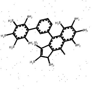 BC1=C(B)C(B)c2c1c(-c1cccc(-c3c(B)c(B)c(B)c(B)c3B)c1)c1c(B)c(B)c(B)c(B)c1c2C